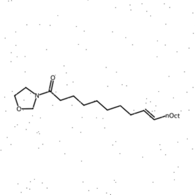 CCCCCCCCC=CCCCCCCCC(=O)N1CCOC1